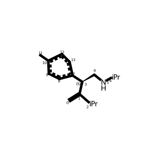 C=C(C(C)C)[C@H](CNC(C)C)c1ccc(C)cc1